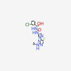 O=C(Nc1cnn(-c2nc(NC3CC3)ncc2F)c1)NC(CO)c1cccc(Cl)c1